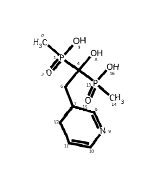 CP(=O)(O)C(O)(CC1C=NC=CC1)P(C)(=O)O